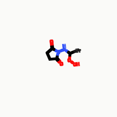 CC(C)C(NN1C(=O)CCC1=O)OO